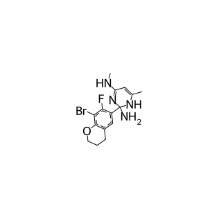 CNC1=NC(N)(c2cc3c(c(Br)c2F)OCCC3)NC(C)=C1